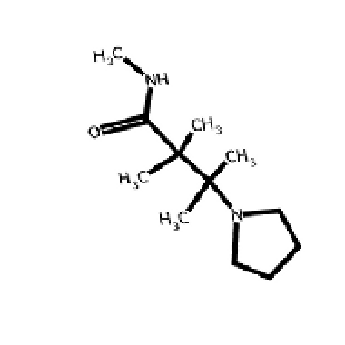 CNC(=O)C(C)(C)C(C)(C)N1CCCC1